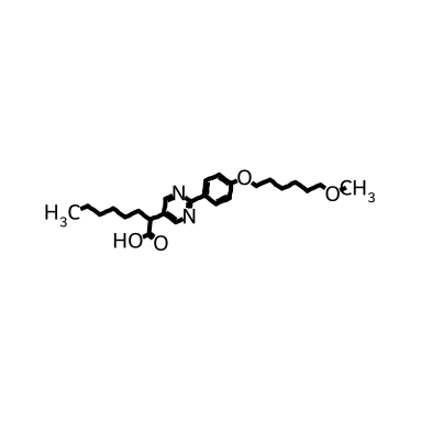 CCCCCCC(C(=O)O)c1cnc(-c2ccc(OCCCCCCOC)cc2)nc1